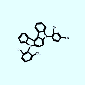 N#Cc1ccc(-n2c3ccccc3c3c4c5ccccc5n(-c5c(C(F)(F)F)cccc5C(F)(F)F)c4ccc32)c(C#N)c1